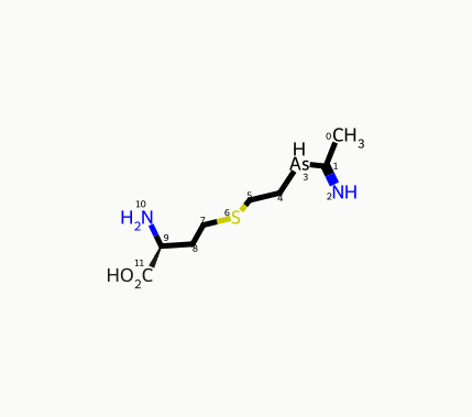 CC(=N)[AsH]CCSCC[C@H](N)C(=O)O